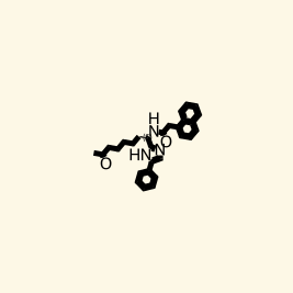 CC(=O)CCCCC[C@H](NC(=O)Cc1cccc2ccccc12)c1ncc(-c2ccccc2)[nH]1